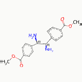 COC(=O)c1ccc([C@@H](N)[C@H](N)c2ccc(C(=O)OC)cc2)cc1